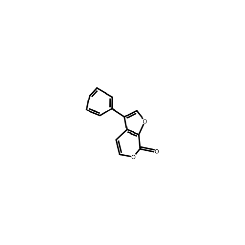 O=c1occc2c(-c3ccccc3)coc12